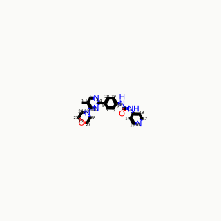 Cc1cnc(-c2ccc(NC(=O)Nc3ccncc3)cc2)nc1N1CCOCC1